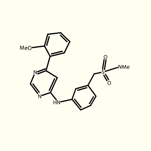 CNS(=O)(=O)Cc1cccc(Nc2cc(-c3ccccc3OC)ncn2)c1